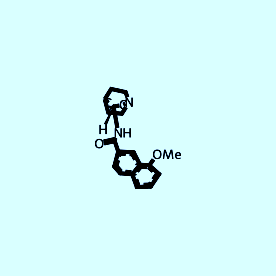 COc1cccc2ccc(C(=O)N[C@@H]3CC4CCN(CC4)C3)cc12